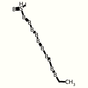 B#[SH](I)B=BB=BB=BB=BB=BCC